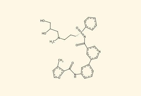 Cc1ccoc1C(=O)Nc1cccc(-c2cncc(C(=O)N=[S@](=O)(CCCN(C)CC(O)CO)c3ccccc3)c2)c1